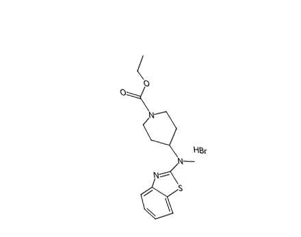 Br.CCOC(=O)N1CCC(N(C)c2nc3ccccc3s2)CC1